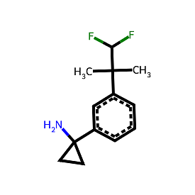 CC(C)(c1cccc(C2(N)CC2)c1)C(F)F